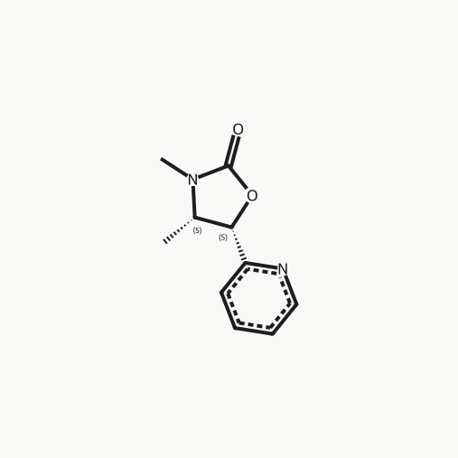 C[C@H]1[C@@H](c2ccccn2)OC(=O)N1C